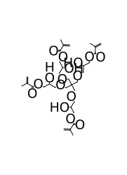 C=C(C)C(=O)OCC(O)COCC(COCC(O)COC(=O)C(=C)C)(COCC(O)COC(=O)C(=C)C)COCC(O)COC(=O)C(=C)C